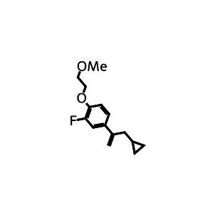 C=C(CC1CC1)c1ccc(OCCOC)c(F)c1